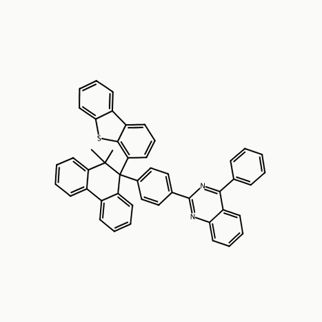 CC1(C)c2ccccc2-c2ccccc2C1(c1ccc(-c2nc(-c3ccccc3)c3ccccc3n2)cc1)c1cccc2c1sc1ccccc12